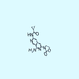 Nc1nc(N2CCOC2=O)cc2cc(NC(=O)C3CC3)ncc12